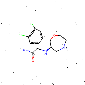 NC(=O)CN[C@@H]1CNCCO[C@H]1c1ccc(Cl)c(Cl)c1